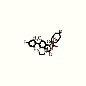 C=C(F)C(=O)N1C2CC(=O)CC1CN(c1nc(=O)n3c4c(c(-c5ccc(F)cc5F)c(C)cc14)SCC3)C2